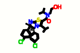 CC(C)C1=C(C(=O)N(CCO)C(C)C)SC2=N[C@@](C)(c3ccc(Cl)cc3)[C@@H](c3ccc(Cl)cc3)N21